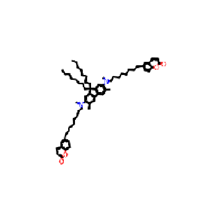 CCCCCCCCC1(CCCCCCCC)c2cc(N(C)CCCCCCCCc3ccc4oc(=O)ccc4c3)c(C)cc2-c2cc(C)c(N(C)CCCCCCCCc3ccc4oc(=O)ccc4c3)cc21